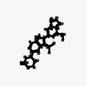 COc1cc(-c2[nH]c3ccc(C4CNCCO4)nc3c2C(C)C)cn2ncnc12